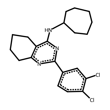 Clc1ccc(-c2nc3c(c(NC4CCCCCC4)n2)CCCC3)cc1Cl